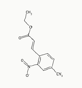 CCOC(=O)C=Cc1ccc(C)cc1[N+](=O)[O-]